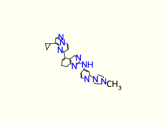 CN1CCN(c2cc(Nc3ncc4c(n3)CCC=C4c3ccn4ncc(C5CC5)c4n3)ccn2)CC1